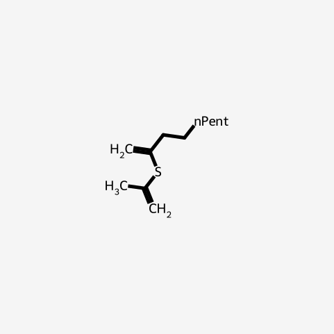 C=C(C)SC(=C)CCCCCCC